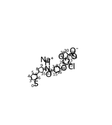 CSc1cccc(C2CCC(NC(=O)c3ccc(Oc4cc5c(cc4Cl)C(C(=O)[O-])CCO5)cc3)C2)c1.[Na+]